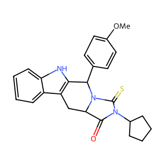 COc1ccc(C2c3[nH]c4ccccc4c3CC3C(=O)N(C4CCCC4)C(=S)N32)cc1